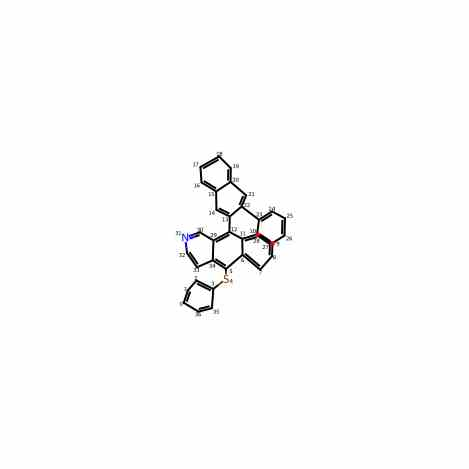 c1ccc(Sc2c3ccccc3c(-c3cc4ccccc4cc3-c3ccccc3)c3cnccc23)cc1